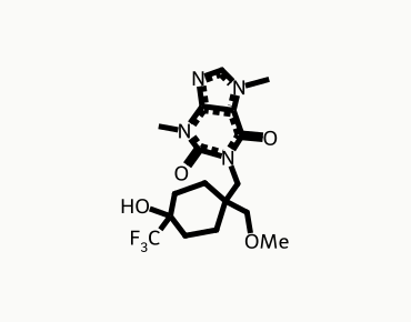 COCC1(Cn2c(=O)c3c(ncn3C)n(C)c2=O)CCC(O)(C(F)(F)F)CC1